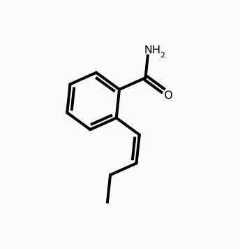 CC/C=C\c1ccccc1C(N)=O